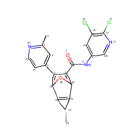 Cc1cc(-c2c(C(=O)Nc3cnc(Cl)c(Cl)c3)c3oc2c2c3[C@@H]2C)ccn1